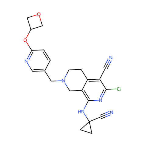 N#Cc1c(Cl)nc(NC2(C#N)CC2)c2c1CCN(Cc1ccc(OC3COC3)nc1)C2